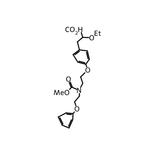 CCOC(Cc1ccc(OCCN(CCOc2ccccc2)C(=O)OC)cc1)C(=O)O